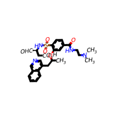 CC(Cc1cncc2ccccc12)Oc1cc(C(=O)NCCN(C)C)ccc1S(=O)(=O)N[C@H](C=O)CC(=O)O